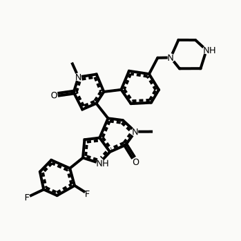 Cn1cc(-c2cccc(CN3CCNCC3)c2)c(-c2cn(C)c(=O)c3[nH]c(-c4ccc(F)cc4F)cc23)cc1=O